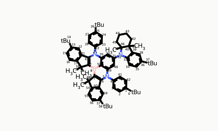 CC(C)(C)c1ccc(N2C3=C(B4C5=C(c6cc(C(C)(C)C)ccc6C5(C)C)N(c5ccc(C(C)(C)C)cc5)c5cc(N6c7ccc(C(C)(C)C)cc7C7(C)CCCCC67C)cc2c54)C(C)(C)c2ccc(C(C)(C)C)cc23)cc1